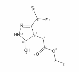 CCOC(=O)CN1C(C(F)F)=NNC1O